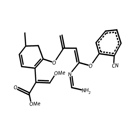 C=C(/C=C(\N=C/N)Oc1ccccc1C#N)OC1=C(/C(=C\OC)C(=O)OC)C=CC(C)C1